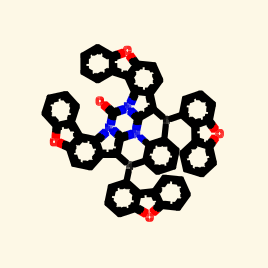 O=c1n2c3c(ccc4oc5ccccc5c43)c3c2n2c4c(c5ccc6oc7ccccc7c6c5n14)B(c1cccc4oc5ccccc5c14)c1cccc(c1-2)B3c1cccc2oc3ccccc3c12